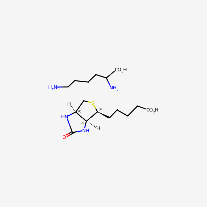 NCCCCC(N)C(=O)O.O=C(O)CCCC[C@@H]1SC[C@@H]2NC(=O)N[C@@H]21